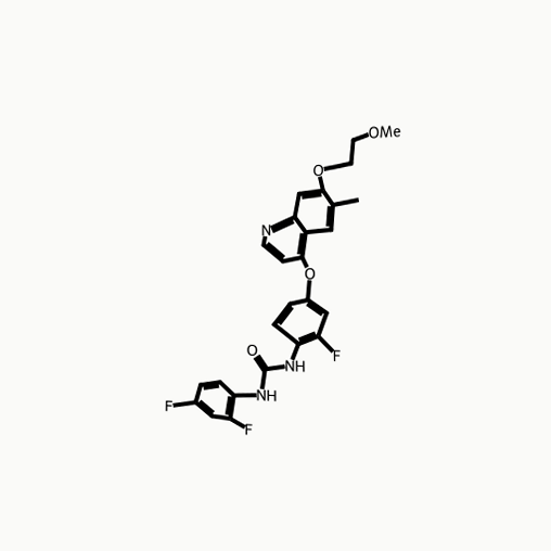 COCCOc1cc2nccc(Oc3ccc(NC(=O)Nc4ccc(F)cc4F)c(F)c3)c2cc1C